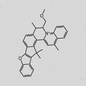 COCC1C(C)c2ccc3c(c2-c2cc(C)c4ccccc4[n+]21)C(C)(C)c1c-3oc2ccccc12